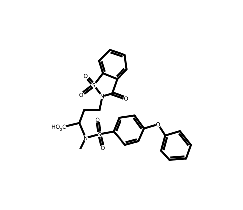 CN(C(CCN1C(=O)c2ccccc2S1(=O)=O)C(=O)O)S(=O)(=O)c1ccc(Oc2ccccc2)cc1